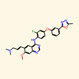 COc1cc2ncnc(Nc3ccc(Oc4cccc(-c5nnc(C)o5)c4)cc3F)c2cc1/C=C/CN(C)C